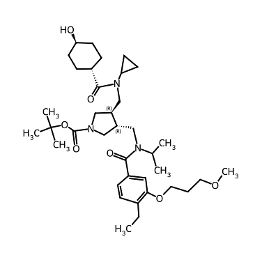 CCc1ccc(C(=O)N(C[C@@H]2CN(C(=O)OC(C)(C)C)C[C@H]2CN(C(=O)[C@H]2CC[C@H](O)CC2)C2CC2)C(C)C)cc1OCCCOC